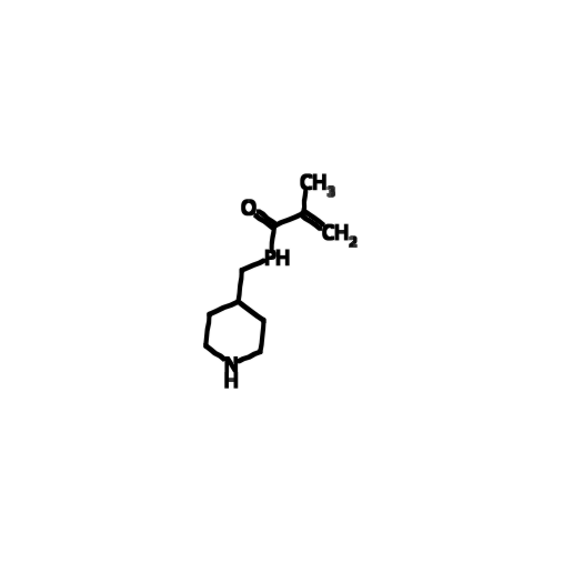 C=C(C)C(=O)PCC1CCNCC1